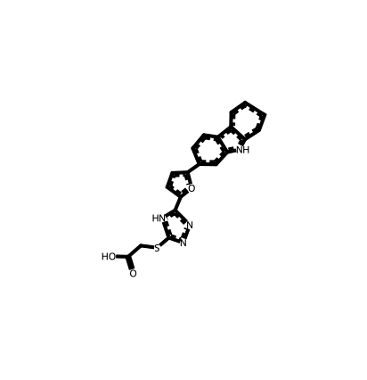 O=C(O)CSc1nnc(-c2ccc(-c3ccc4c(c3)[nH]c3ccccc34)o2)[nH]1